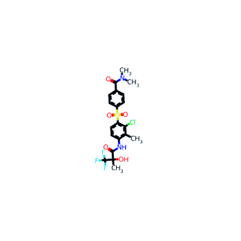 Cc1c(NC(=O)C(C)(O)C(F)(F)F)ccc(S(=O)(=O)c2ccc(C(=O)N(C)C)cc2)c1Cl